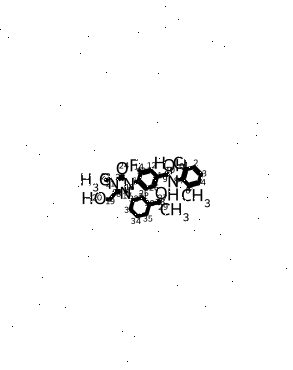 Cc1cccc(C)c1NC(O)c1cc(F)c(-n2nc(CO)n(C)c2=O)cc1OC(C)C1CCCCC1